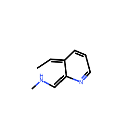 C/C=c1/cccn/c1=C/NC